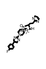 O=C(O)NC(CCc1ncccn1)CS(=O)(=O)N1CCN(c2ncc(-c3ccc(F)cc3)cn2)CC1